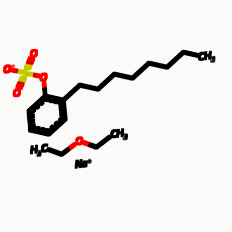 CCCCCCCCc1ccccc1OS(=O)(=O)[O-].CCOCC.[Na+]